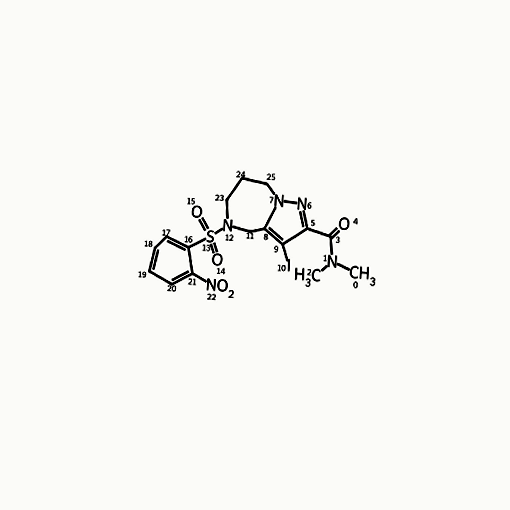 CN(C)C(=O)c1nn2c(c1I)CN(S(=O)(=O)c1ccccc1[N+](=O)[O-])CCC2